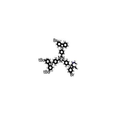 C=Cc1c(/C=C\C)n(-c2ccc(-c3nc(-c4ccc(-n5c6ccccc6c6cc(Br)ccc65)cc4)nc(-c4ccc(-n5c6ccc(C(C)(C)C)cc6c6cc(C(C)(C)C)ccc65)cc4)n3)cc2)c2ccc(Br)cc12